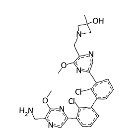 COc1nc(-c2cccc(-c3cccc(-c4cnc(CN5CC(C)(O)C5)c(OC)n4)c3Cl)c2Cl)cnc1CN